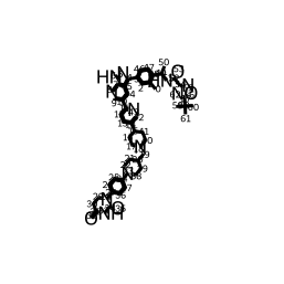 Cc1cc(-c2n[nH]c3ncc(-c4ccc(C5CCN(CC6CCN(c7ccc(N8CCC(=O)NC8=O)cc7)CC6)CC5)cn4)cc23)ccc1C(C)NC(=O)c1noc(C(C)(C)C)n1